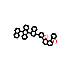 c1ccc2c(-c3c4ccccc4c(-c4ccc(-c5ccc6oc7c(ccc8ccc9oc%10ccccc%10c9c87)c6c5)c5ccccc45)c4ccccc34)cccc2c1